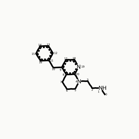 CNCCN1CCCc2c(Cc3ccccc3)ccnc21